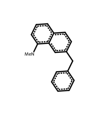 CNc1cccc2ccc(Cc3ccccc3)cc12